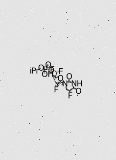 CC(C)OP(=O)(O)OC[C@]1(C(F)F)C[C@H](F)[C@H](n2cc(F)c(=O)[nH]c2=O)O1